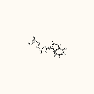 O=c1[nH]cnc2c1ncn2[C@H]1CC[C@@H](CO[PH](=O)O)O1